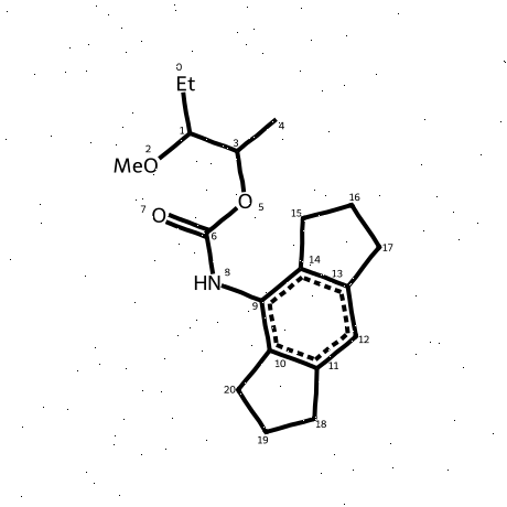 CCC(OC)C(C)OC(=O)Nc1c2c(cc3c1CCC3)CCC2